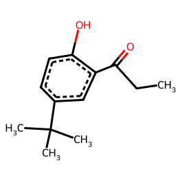 CCC(=O)c1cc(C(C)(C)C)ccc1O